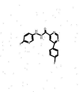 O=C(NNc1ccc(F)nc1)c1cc(-c2ccc(F)cc2)ncn1